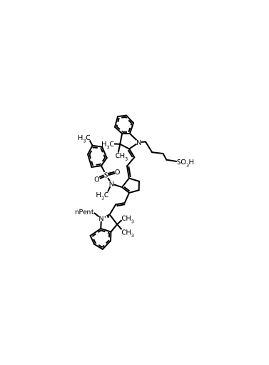 CCCCC[N+]1=C(/C=C/C2=C(N(C)S(=O)(=O)c3ccc(C)cc3)C(=C/C=C3/N(CCCCS(=O)(=O)O)c4ccccc4C3(C)C)/CC2)C(C)(C)c2ccccc21